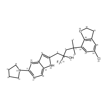 CC(C)(CC(O)(Cc1cc2nc(N3CCCC3)ncc2[nH]1)C(F)(F)F)c1cc(Cl)cc2c1OCC2